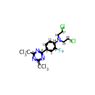 Fc1cc(-c2nc(C(Cl)(Cl)Cl)nc(C(Cl)(Cl)Cl)n2)ccc1N(CCCl)CCCl